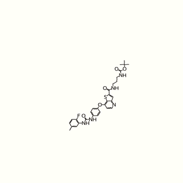 Cc1ccc(F)c(NC(=O)Nc2ccc(Oc3ccnc4cc(C(=O)NCCCNC(=O)OC(C)(C)C)sc34)cc2)c1